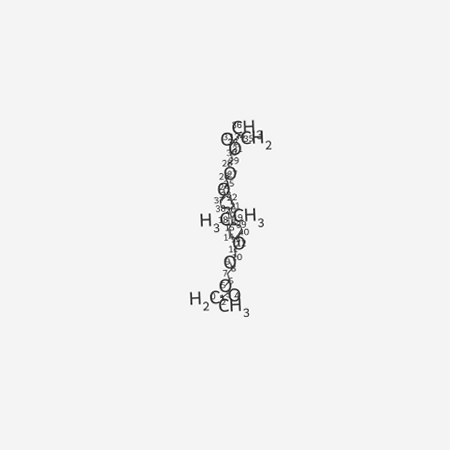 C=C(C)C(=O)OCCCOCCOc1ccc(C(C)(C)c2ccc(OCCOCCCOC(=O)C(=C)C)cc2)cc1